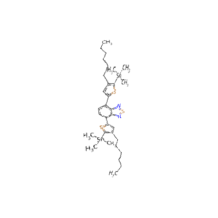 CCCCCCc1cc(-c2ccc(-c3cc(CCCCCC)[c]([Sn]([CH3])([CH3])[CH3])s3)c3nsnc23)s[c]1[Sn]([CH3])([CH3])[CH3]